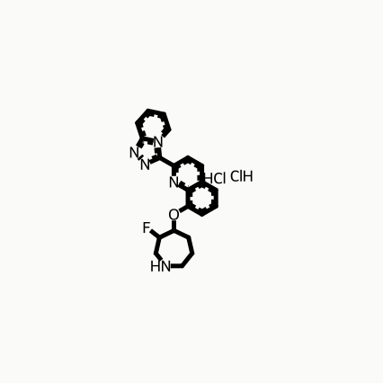 Cl.Cl.FC1CNCCCC1Oc1cccc2ccc(-c3nnc4ccccn34)nc12